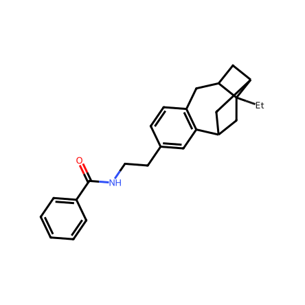 CCC12CC3CC1CC2Cc1ccc(CCNC(=O)c2ccccc2)cc13